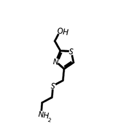 NCCSCc1csc(CO)n1